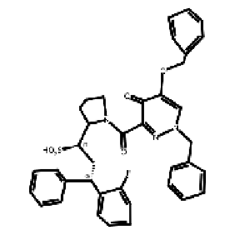 O=C(c1nn(Cc2ccccc2)cc(OCc2ccccc2)c1=O)N1CCCC1[C@@H](C[C@@H](c1ccccc1)c1ccccc1F)S(=O)(=O)O